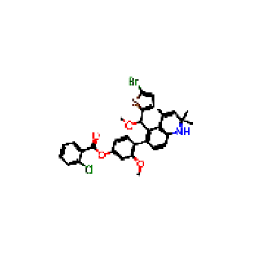 COc1cc(OC(=O)c2ccccc2Cl)ccc1-c1ccc2c(c1C(OC)c1ccc(Br)s1)C(C)=CC(C)(C)N2